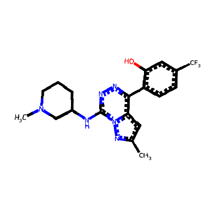 Cc1cc2c(-c3ccc(C(F)(F)F)cc3O)nnc(NC3CCCN(C)C3)n2n1